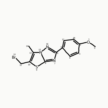 COc1ccc(-c2nc3sc(CBr)c(C)n3n2)cc1